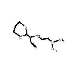 CN(C)CCNN(C=S)C1NCCCS1